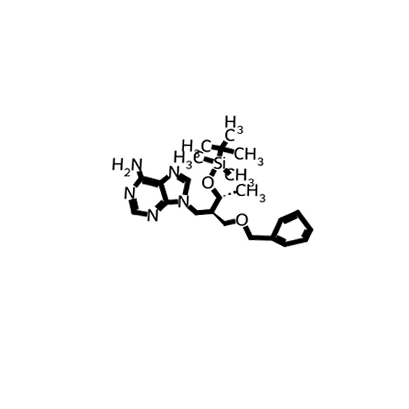 C[C@@H](O[Si](C)(C)C(C)(C)C)[C@@H](COCc1ccccc1)Cn1cnc2c(N)ncnc21